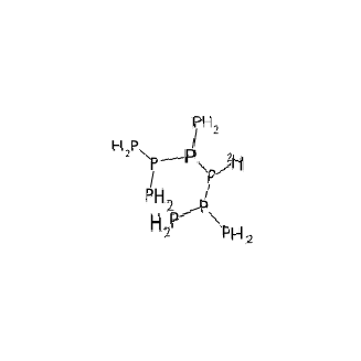 [2H]P(P(P)P)P(P)P(P)P